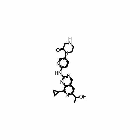 CC(O)c1cc2cnc(Nc3ccc(N4CCNCC4=O)cn3)nc2c(C2CC2)n1